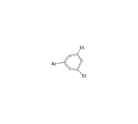 CCc1cc(CC)cc(C(C)=O)c1